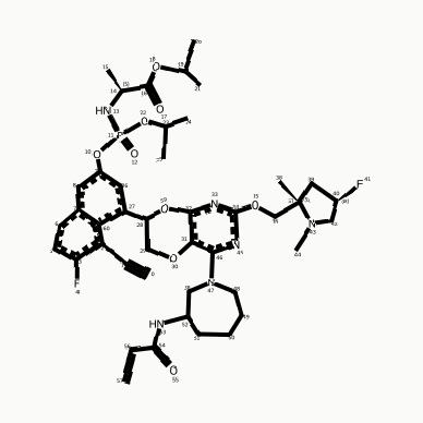 C#Cc1c(F)ccc2cc(OP(=O)(N[C@@H](C)C(=O)OC(C)C)OC(C)C)cc(C3COc4c(nc(OC[C@]5(C)C[C@@H](F)CN5C)nc4N4CCCCC(NC(=O)C=C)C4)O3)c12